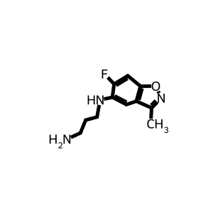 Cc1noc2cc(F)c(NCCCN)cc12